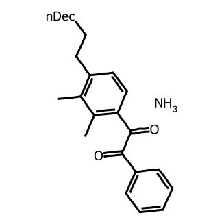 CCCCCCCCCCCCc1ccc(C(=O)C(=O)c2ccccc2)c(C)c1C.N